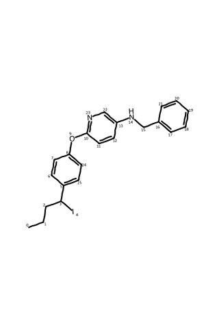 CCCC(I)c1ccc(Oc2ccc(NCc3ccccc3)cn2)cc1